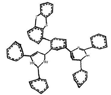 C1=C(c2ccc(-c3cccc4c3Sc3ccccc3S4)c(C3C=C(c4ccccc4)NC(c4ccccc4)N3)c2)N=C(c2ccccc2)NC1c1ccccc1